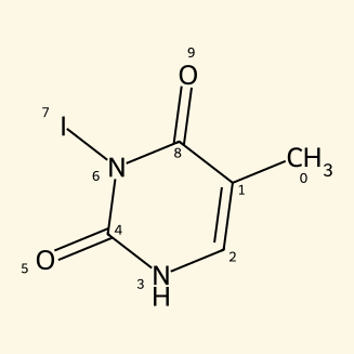 Cc1c[nH]c(=O)n(I)c1=O